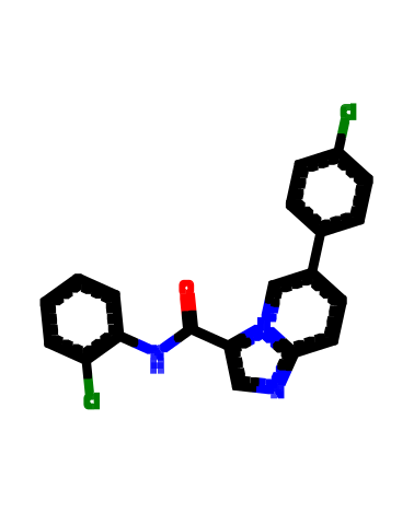 O=C(Nc1ccccc1Cl)c1cnc2ccc(-c3ccc(Cl)cc3)cn12